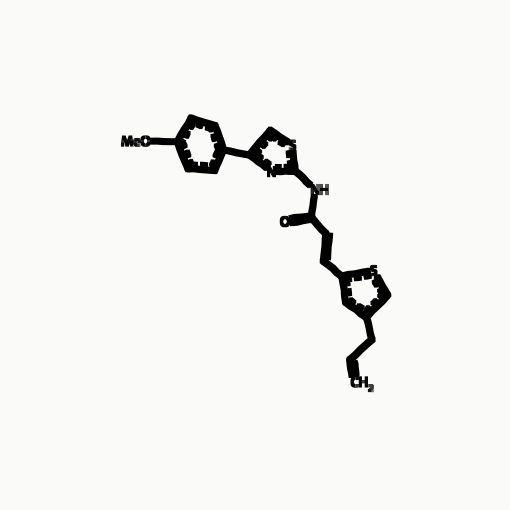 C=CCc1csc(C=CC(=O)Nc2nc(-c3ccc(OC)cc3)cs2)c1